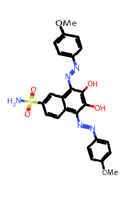 COc1ccc(N=Nc2c(O)c(O)c(N=Nc3ccc(OC)cc3)c3cc(S(N)(=O)=O)ccc23)cc1